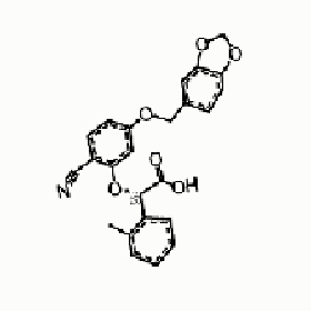 Cc1ccccc1[C@H](Oc1cc(OCc2ccc3c(c2)OCO3)ccc1C#N)C(=O)O